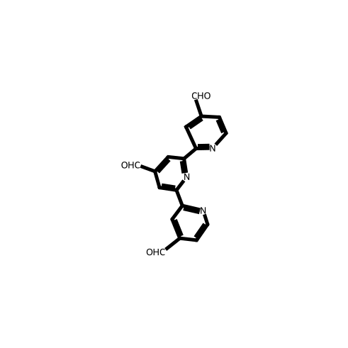 O=Cc1ccnc(-c2cc(C=O)cc(-c3cc(C=O)ccn3)n2)c1